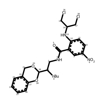 CCCCC(CNC(=O)c1cc([N+](=O)[O-])ccc1NC(CCl)CCl)C1OCc2ccccc2O1